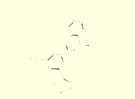 COC[C@@H](NC(=O)c1cc(OC)nc(C2=CCCC2)n1)c1ccc(OC(F)(F)F)cc1